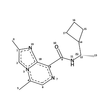 Cc1cn2c(C)cnc(C(=O)N[C@@H](C)C3CCC3)c2n1